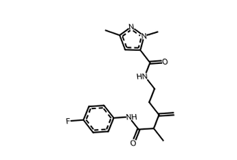 C=C(CCNC(=O)c1cc(C)nn1C)C(C)C(=O)Nc1ccc(F)cc1